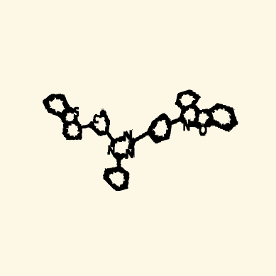 c1ccc(-c2nc(-c3ccc(-c4nc5oc6ccccc6c5c5ccccc45)cc3)nc(-c3cccc(-c4cccc5c4sc4ccccc45)c3)n2)cc1